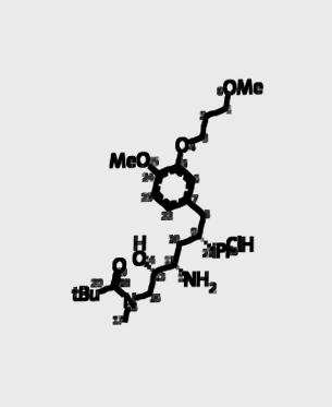 COCCCOc1cc(C[C@@H](C[C@H](N)[C@@H](O)CN(C)C(=O)C(C)(C)C)C(C)C)ccc1OC.Cl